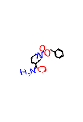 NC(=O)C1CCCN(C(=O)OCc2ccccc2)C1